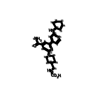 NC(=O)c1cc(-c2ccnc(NC3CCCCC3)c2)nc(N2CCC(CNC(=O)O)CC2)c1